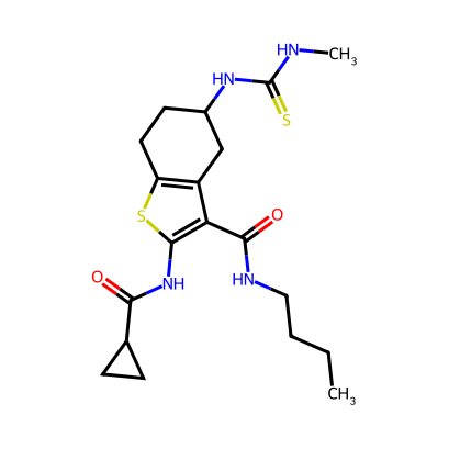 CCCCNC(=O)c1c(NC(=O)C2CC2)sc2c1CC(NC(=S)NC)CC2